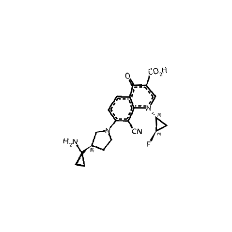 N#Cc1c(N2CC[C@@H](C3(N)CC3)C2)ccc2c(=O)c(C(=O)O)cn([C@@H]3C[C@H]3F)c12